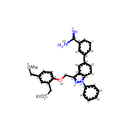 CCOC(=O)Cc1cc(COC)ccc1OCc1nn(-c2ccccc2)c2ccc(-c3cccc(C(=N)N)c3)cc12